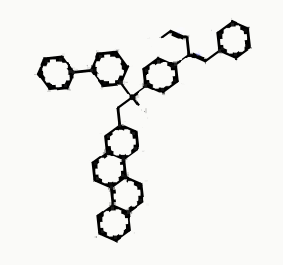 C/C=C\C(=C/c1ccccc1)c1ccc(C(N)(Cc2ccc3c(ccc4c5ccccc5ccc34)c2)c2cccc(-c3ccccc3)c2)cc1